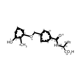 Cc1c(O)cccc1OCc1ccc(C(=O)N[C@H](C(=O)O)C(C)C)cc1